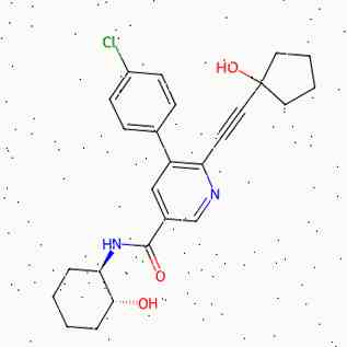 O=C(N[C@@H]1CCCC[C@H]1O)c1cnc(C#CC2(O)CCCC2)c(-c2ccc(Cl)cc2)c1